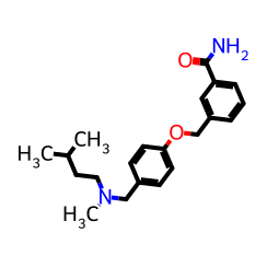 CC(C)CCN(C)Cc1ccc(OCc2cccc(C(N)=O)c2)cc1